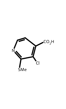 CSc1nccc(C(=O)O)c1Cl